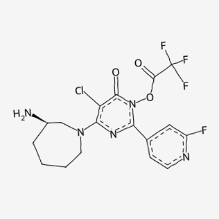 N[C@@H]1CCCCN(c2nc(-c3ccnc(F)c3)n(OC(=O)C(F)(F)F)c(=O)c2Cl)C1